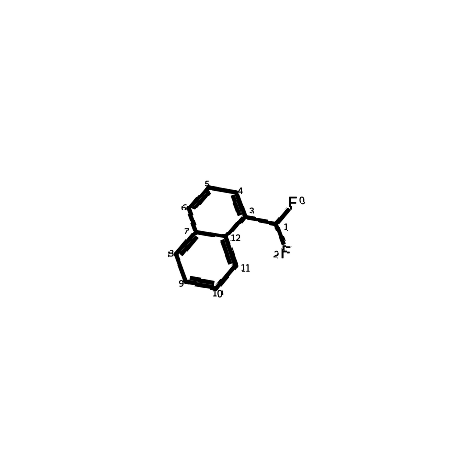 F[C](F)c1cccc2ccccc12